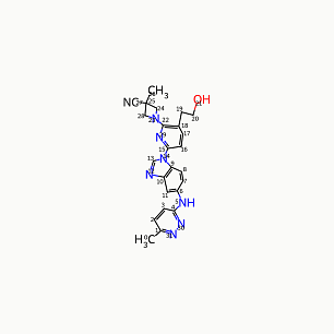 Cc1ccc(Nc2ccc3c(c2)ncn3-c2ccc(CCO)c(N3CC(C)(C#N)C3)n2)nn1